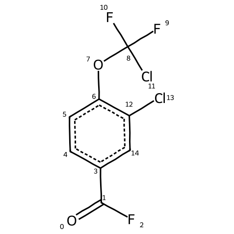 O=C(F)c1ccc(OC(F)(F)Cl)c(Cl)c1